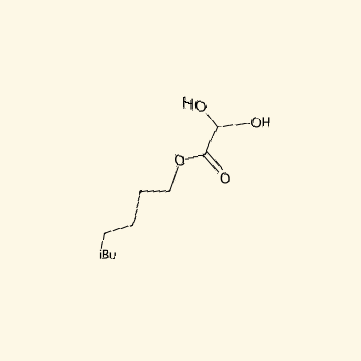 CCC(C)CCCCOC(=O)C(O)O